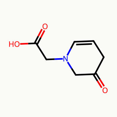 O=C(O)CN1C=CCC(=O)C1